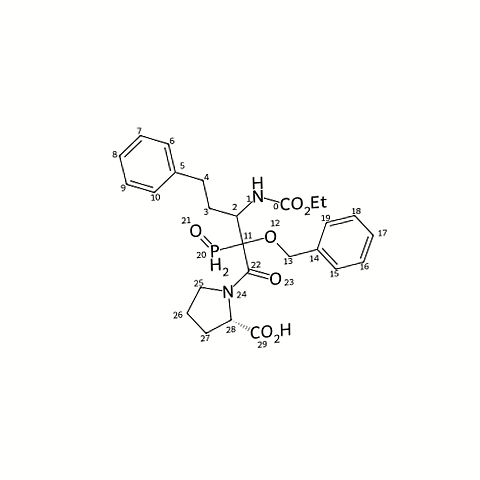 CCOC(=O)NC(CCc1ccccc1)C(OCc1ccccc1)([PH2]=O)C(=O)N1CCC[C@H]1C(=O)O